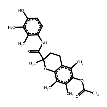 CC(=O)Oc1c(C)c(C)c2c(c1C)CCC(C)(C(=S)Nc1ccc(O)c(C)c1C)O2